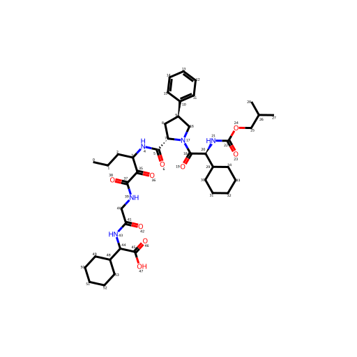 CCCC(NC(=O)[C@@H]1C[C@@H](c2ccccc2)CN1C(=O)[C@@H](NC(=O)OCC(C)C)C1CCCCC1)C(=O)C(=O)NCC(=O)NC(C(=O)O)C1CCCCC1